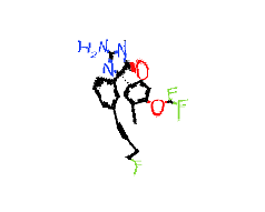 Cc1cc([C@]2(c3cccc(C#CCCF)c3)N=C(N)N(C)C2=O)ccc1OC(F)F